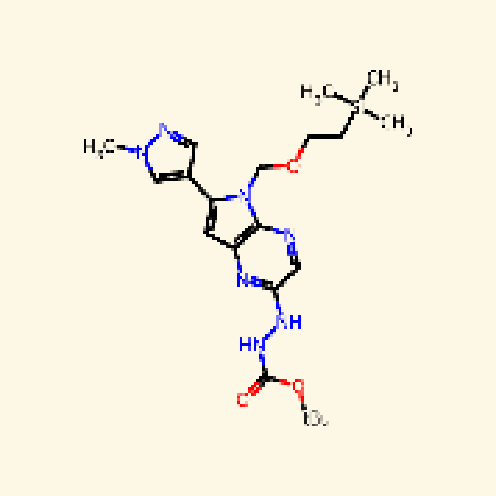 Cn1cc(-c2cc3nc(NNC(=O)OC(C)(C)C)cnc3n2COCC[Si](C)(C)C)cn1